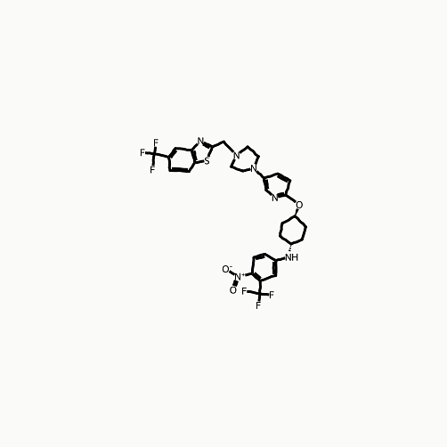 O=[N+]([O-])c1ccc(N[C@H]2CC[C@H](Oc3ccc(N4CCN(Cc5nc6cc(C(F)(F)F)ccc6s5)CC4)cn3)CC2)cc1C(F)(F)F